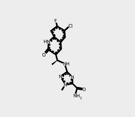 C[C@H](Nc1nc(C(N)=O)n(C)n1)c1cc2cc(Cl)c(F)cc2[nH]c1=O